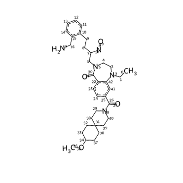 CCN1CCN(CC(CCc2ccccc2CN)N=O)C(=O)c2ccc(C(=O)N3CCC4(CCC(OC)CC4)CC3)cc21